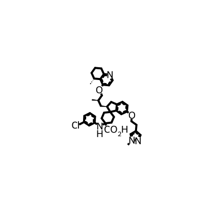 C[C@@H](COc1ccnc2c1[C@H](C)CCC2)C[C@H]1Cc2ccc(OCCc3cnn(C)c3)cc2C12CCC(Nc1cccc(Cl)c1)(C(=O)O)CC2